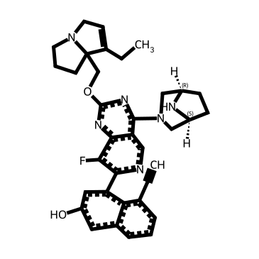 C#Cc1cccc2cc(O)cc(-c3ncc4c(N5C[C@H]6CC[C@@H](C5)N6)nc(OCC56CCCN5CC=C6CC)nc4c3F)c12